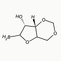 BC1OC2COCO[C@H]2[C@H]1O